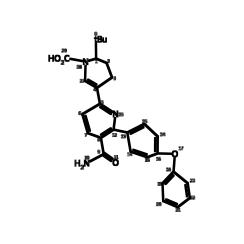 CC(C)(C)C1CCC(c2ccc(C(N)=O)c(-c3ccc(Oc4ccccc4)cc3)n2)=CN1C(=O)O